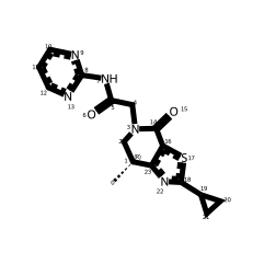 C[C@@H]1CN(CC(=O)Nc2ncccn2)C(=O)c2sc(C3CC3)nc21